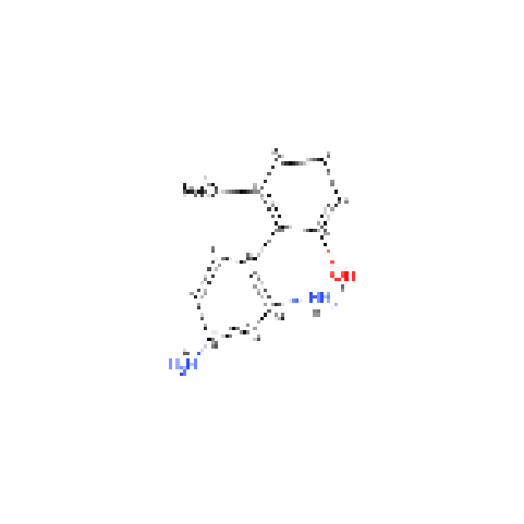 COc1cccc(O)c1-c1ccc(N)cc1N